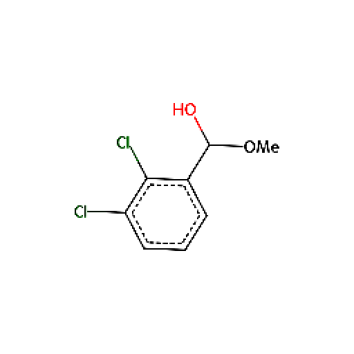 COC(O)c1cccc(Cl)c1Cl